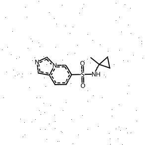 CC1(NS(=O)(=O)c2ccc3cncn3c2)CC1